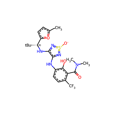 Cc1ccc([C@H](Nc2n[s+]([O-])nc2Nc2ccc(C(F)(F)F)c(C(=O)N(C)C)c2O)C(C)(C)C)o1